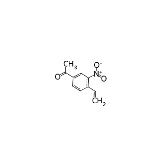 C=Cc1ccc(C(C)=O)cc1[N+](=O)[O-]